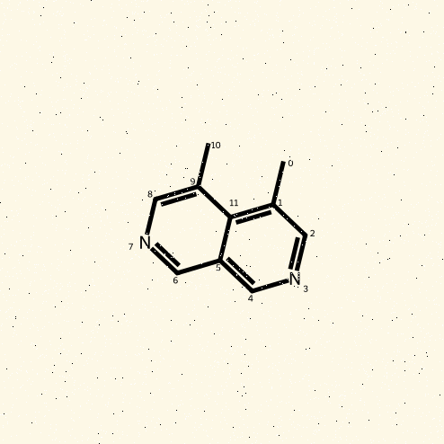 Cc1cncc2cncc(C)c12